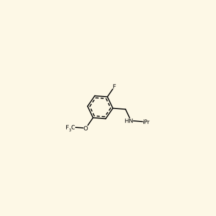 CC(C)NCc1cc(OC(F)(F)F)ccc1F